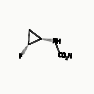 O=C(O)N[C@H]1C[C@H]1F